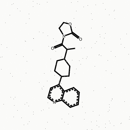 CC(C(=O)N1CCOC1=O)C1CCC(c2ccnc3ccccc23)CC1